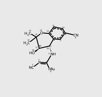 CCCCC(=NC#N)N[C@H]1c2cc(C#N)ccc2OC(C)(C)[C@@H]1O